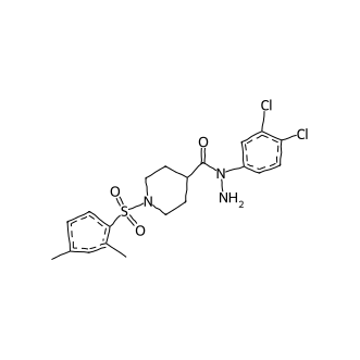 Cc1ccc(S(=O)(=O)N2CCC(C(=O)N(N)c3ccc(Cl)c(Cl)c3)CC2)c(C)c1